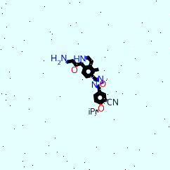 Cc1c(-c2noc(-c3ccc(OC(C)C)c(C#N)c3)n2)ccc2c1CCNC2C(=O)CCN